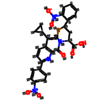 O=C(O)C1CC(c2ccccc2[N+](=O)[O-])Sc2c(C3CC3)c3ccc(-c4ccc([N+](=O)[O-])cc4)nc3c(=O)n21